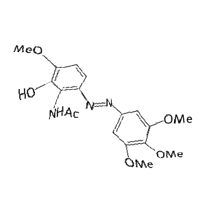 COc1ccc(/N=N/c2cc(OC)c(OC)c(OC)c2)c(NC(C)=O)c1O